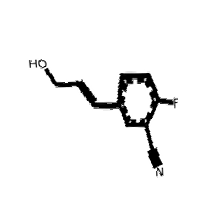 N#Cc1cc(/C=C/CO)ccc1F